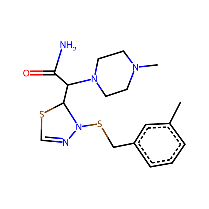 Cc1cccc(CSN2N=CSC2C(C(N)=O)N2CCN(C)CC2)c1